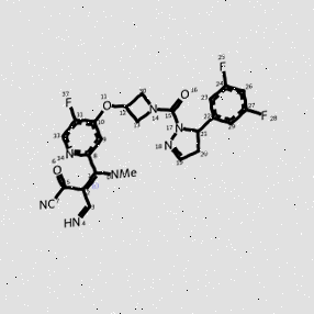 CN/C(=C(\C=N)C(=O)C#N)c1cc(OC2CN(C(=O)N3N=CCC3c3cc(F)cc(F)c3)C2)c(F)cn1